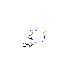 CC(C)(C)[C@@H]1NC(=O)CSC[C@H](C(N)=O)NC(=O)[C@@H](CN)NC(=O)CNC(=O)[C@H](Cc2ccc(-c3ccccc3)cc2)NC(=O)[C@@H]2C[C@@H](O)CN2C1=O